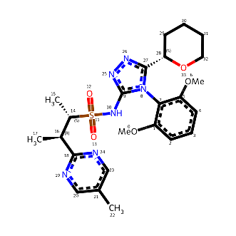 COc1cccc(OC)c1-n1c(NS(=O)(=O)[C@@H](C)[C@H](C)c2ncc(C)cn2)nnc1[C@@H]1CCCCO1